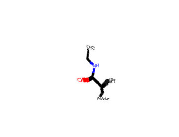 CNC(C(=O)NCC=O)C(C)C